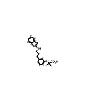 CC(C)(Oc1cccc(CCCNc2nc3ccccc3o2)c1)C(=O)O